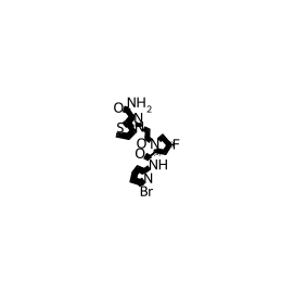 NC(=O)c1nn(CC(=O)N2C[C@H](F)C[C@H]2C(=O)Nc2cccc(Br)n2)c2ccsc12